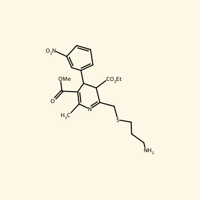 CCOC(=O)C1C(CSCCCN)=NC(C)=C(C(=O)OC)C1c1cccc([N+](=O)[O-])c1